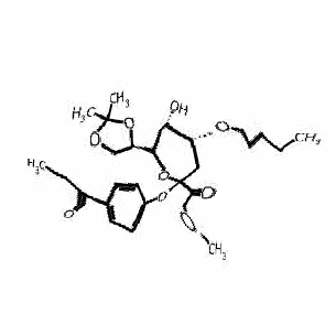 CCCCO[C@@H]1C[C@](Oc2ccc(C(=O)CC)cc2)(C(=O)OC)OC([C@H]2COC(C)(C)O2)[C@@H]1O